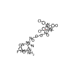 COc1ccc(C2=N[C@@H](c3ccc(Cl)cc3)[C@@H](c3ccc(Cl)cc3)N2C(=O)N2CCN(CCOCCOCCC(=O)N(C)CCn3nc4c(c3C#N)-c3cnc(N)c(c3)N3CCC[C@@H]3c3cc(F)ccc3C(=O)N(C)C4)C(=O)C2)c(OC(C)C)c1